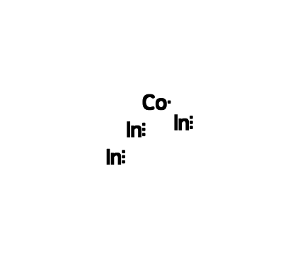 [Co].[In].[In].[In]